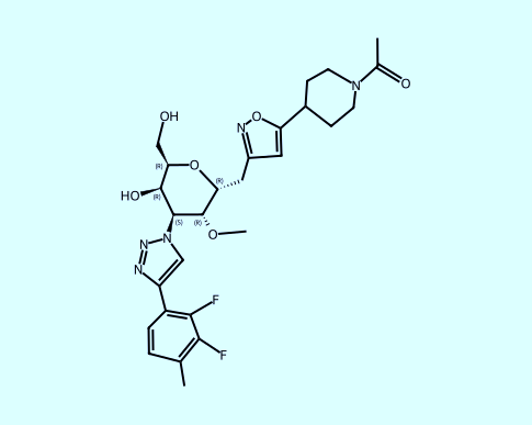 CO[C@@H]1[C@@H](n2cc(-c3ccc(C)c(F)c3F)nn2)[C@@H](O)[C@@H](CO)O[C@@H]1Cc1cc(C2CCN(C(C)=O)CC2)on1